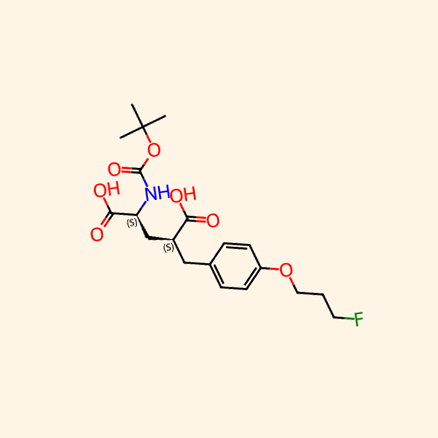 CC(C)(C)OC(=O)N[C@@H](C[C@H](Cc1ccc(OCCCF)cc1)C(=O)O)C(=O)O